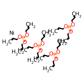 C=CCOP(OCC=C)OCC=C.C=CCOP(OCC=C)OCC=C.C=CCOP(OCC=C)OCC=C.C=CCOP(OCC=C)OCC=C.[Ni]